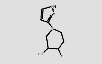 OC1CN(c2cc[nH]n2)CCC1F